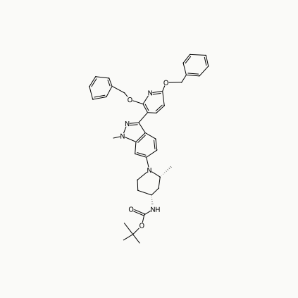 C[C@@H]1C[C@H](NC(=O)OC(C)(C)C)CCN1c1ccc2c(-c3ccc(OCc4ccccc4)nc3OCc3ccccc3)nn(C)c2c1